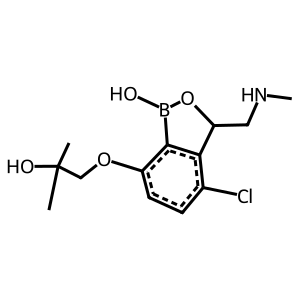 CNCC1OB(O)c2c(OCC(C)(C)O)ccc(Cl)c21